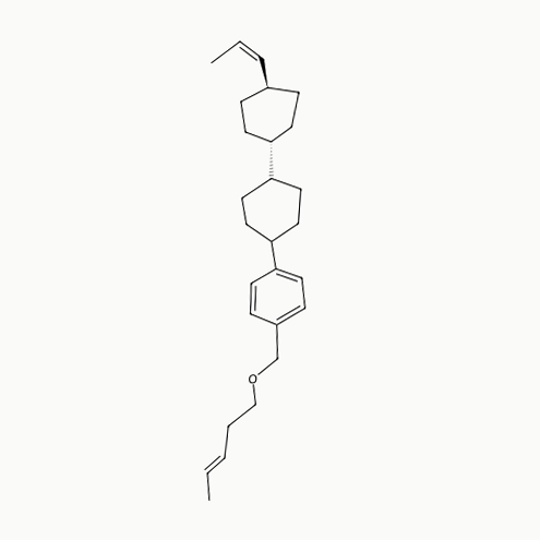 C/C=C\[C@H]1CC[C@H](C2CCC(c3ccc(COCC/C=C/C)cc3)CC2)CC1